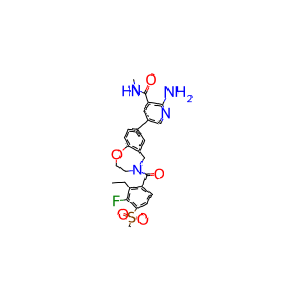 CCc1c(C(=O)N2CCOc3ccc(-c4cnc(N)c(C(=O)NC)c4)cc3C2)ccc(S(C)(=O)=O)c1F